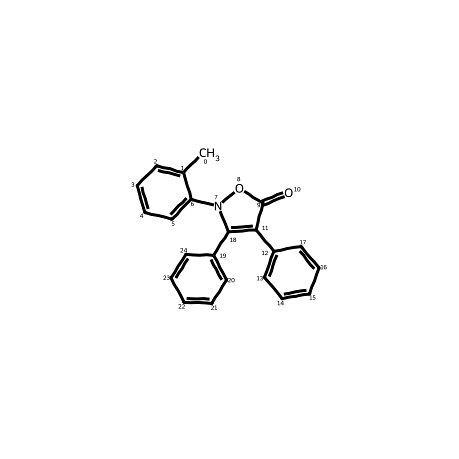 Cc1ccccc1-n1oc(=O)c(-c2ccccc2)c1-c1ccccc1